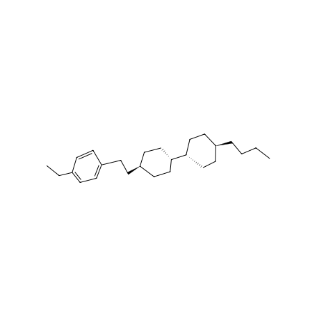 CCCC[C@H]1CC[C@H]([C@H]2CC[C@H](CCc3ccc(CC)cc3)CC2)CC1